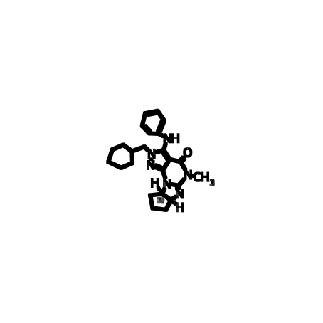 CN1C(=O)c2c(nn(CC3CCCCC3)c2Nc2ccccc2)N2C1=N[C@@H]1CCC[C@@H]12